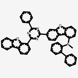 CN(c1ccccc1-c1ccccc1)c1cccc2oc3cc(-c4nc(-c5ccccc5)nc(-c5cccc6c5oc5ccccc56)n4)ccc3c12